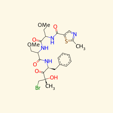 COCC(NC(=O)c1cnc(C)s1)C(=O)NC(COC)C(=O)N[C@@H](Cc1ccccc1)C(=O)[C@](C)(O)CBr